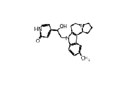 Cc1ccc2c(c1)c1c(n2CC(O)c2cc[nH]c(=O)c2)CCN2CCCC12